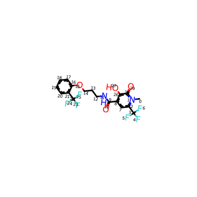 Cn1c(C(F)(F)F)cc(C(=O)NCCCOc2ccccc2C(F)(F)F)c(O)c1=O